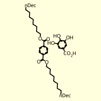 CCCCCCCCCCCCCCCCCCOC(=O)c1ccc(C(=O)OCCCCCCCCCCCCCCCCCC)cc1.O=C(O)c1cc(O)c(O)c(O)c1